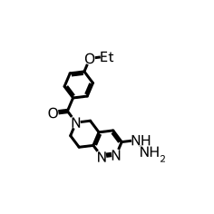 CCOc1ccc(C(=O)N2CCc3nnc(NN)cc3C2)cc1